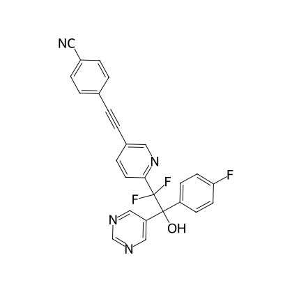 N#Cc1ccc(C#Cc2ccc(C(F)(F)C(O)(c3ccc(F)cc3)c3cncnc3)nc2)cc1